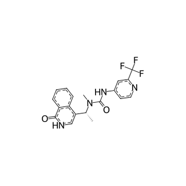 C[C@H](c1c[nH]c(=O)c2ccccc12)N(C)C(=O)Nc1ccnc(C(F)(F)F)c1